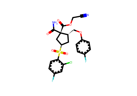 N#CCOC(=O)[C@]1(C(N)=O)C[C@H](S(=O)(=O)c2ccc(F)cc2Cl)C[C@H]1COc1ccc(F)cc1